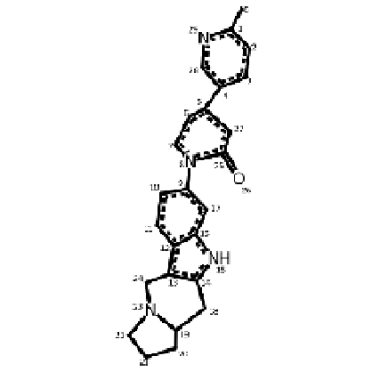 Cc1ccc(-c2ccn(-c3ccc4c5c([nH]c4c3)CC3CCCN3C5)c(=O)c2)cn1